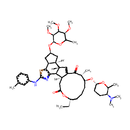 CC[C@H]1CCC[C@H](O[C@H]2CC[C@H](N(C)C)C(C)O2)[C@@H](C)C(=O)C2=C[C@@H]3C(c4nc(Nc5cccc(C)c5)sc4C4C[C@@H](O[C@@H]5OC(C)[C@H](OC)C(OC)C5OC)C[C@H]43)[C@@H]2CC(=O)O1